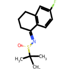 CC(C)(C)[S@+]([O-])N=C1CCCc2cc(F)ccc21